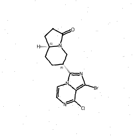 O=C1CC[C@@H]2CC[C@@H](c3nc(Br)c4c(Cl)nccn34)CN12